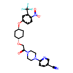 N#Cc1ccc(N2CCN(C(=O)CO[C@H]3CC[C@H](Oc4ccc([N+](=O)[O-])c(C(F)(F)F)c4)CC3)CC2)nc1